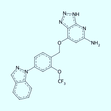 Nc1cc(OCc2ccc(-n3ncc4ccccc43)cc2OC(F)(F)F)c2nn[nH]c2n1